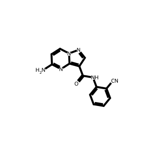 N#Cc1ccccc1NC(=O)c1cnn2ccc(N)nc12